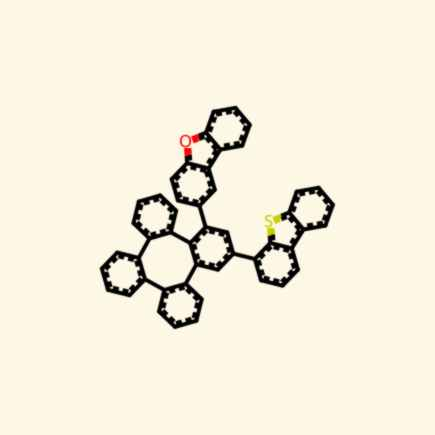 c1ccc2c(c1)-c1ccccc1-c1cc(-c3cccc4c3sc3ccccc34)cc(-c3ccc4oc5ccccc5c4c3)c1-c1ccccc1-2